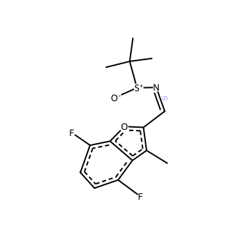 Cc1c(/C=N\[S+]([O-])C(C)(C)C)oc2c(F)ccc(F)c12